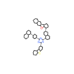 c1ccc2cc3c(cc2c1)oc1c(-c2ccc4c(-c5nc(-c6ccc(-c7cccc8ccccc78)cc6)nc(-c6ccc7sc8ccccc8c7c6)n5)cccc4c2)cccc13